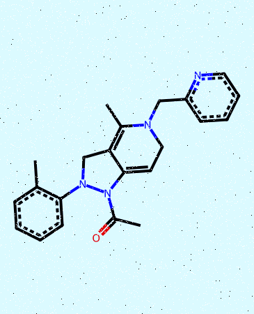 CC(=O)N1C2=CCN(Cc3ccccn3)C(C)=C2CN1c1ccccc1C